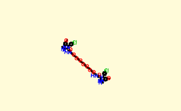 COc1ccc2c(c1)C(c1ccc(Cl)cc1)=N[C@@H](CC(=O)NCCOCCOCCOCCOCCOCCOCCOCCNC(=O)C[C@@H]1N=C(c3ccc(Cl)cc3)c3cc(OC)ccc3-n3c(C)nnc31)c1nnc(C)n1-2